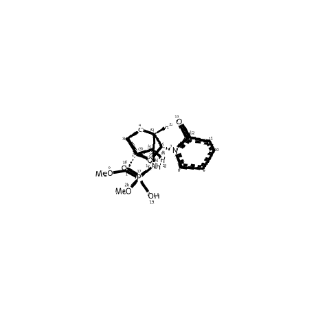 COC[C@@]12CO[C@H]([C@H](n3ccccc3=O)O1)[C@@H]2NP(=O)(O)OC